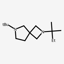 CCC(C)(C)N1CC2(CCN(C(C)(C)C)C2)C1